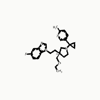 CCOC[C@]1(CCn2cnc3cc(F)ccc32)CCN(C2(c3ccc(C)nc3)CC2)C1